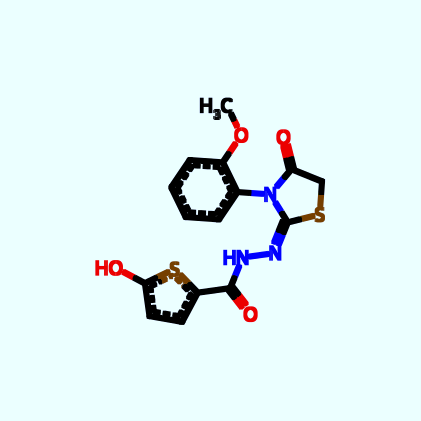 COc1ccccc1N1C(=O)CS/C1=N/NC(=O)c1ccc(O)s1